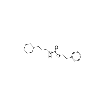 O=C(NCCCC1CCCCC1)OCCc1ccccc1